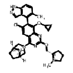 Cc1ccc2[nH]ncc2c1-c1c(Cl)cc2c(N3C[C@H]4CC[C@@H](C3)N4)nc(OC[C@@H]3CCCN3C)nc2c1OC1CC1